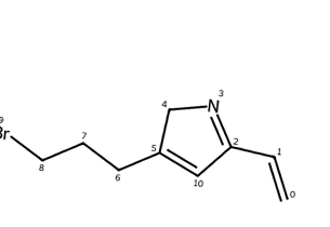 C=CC1=NCC(CCCBr)=C1